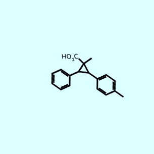 Cc1ccc(C2C(c3ccccc3)C2(C)C(=O)O)cc1